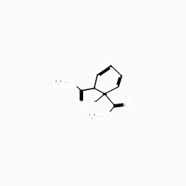 COC(=O)C1C=CC=CC1(I)C(=O)OC